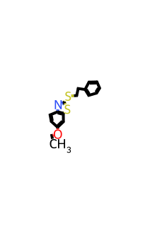 CCOc1ccc2nc(SCCc3ccccc3)sc2c1